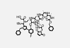 C[C@H](NC(=O)OCc1ccccc1)C(=O)N[C@@H](C)C(=O)N[C@@H](CC(=O)N[C@@H](CCN(C(=O)CO)[C@@H](c1cc(-c2cc(F)ccc2F)cn1Cc1ccccc1)C(C)(C)C)C(=O)NCCNC(=O)CN1C(=O)C=CC1=O)C(N)=O